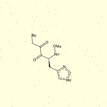 CCC(C)[CH]C(=O)C(=O)[C@H](Cc1c[nH]cn1)NOC